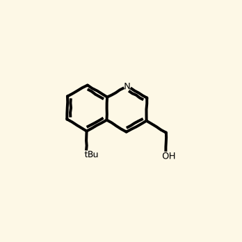 CC(C)(C)c1cccc2ncc(CO)cc12